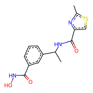 Cc1nc(C(=O)NC(C)c2cccc(C(=O)NO)c2)cs1